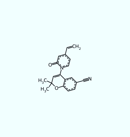 C=Cc1ccn(C2=CC(C)(C)Oc3ccc(C#N)cc32)c(=O)c1